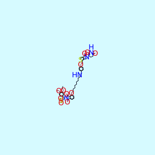 CCOc1cc(C(CS(C)(=O)=O)N2C(=O)c3cccc(OCCCCCCCCCNCc4ccc(OCc5scc6c5CN(C5CCC(=O)NC5=O)C6=O)cc4)c3C2=O)ccc1OC